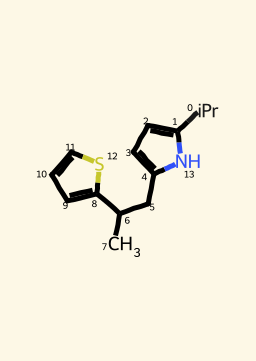 CC(C)c1ccc(CC(C)c2cccs2)[nH]1